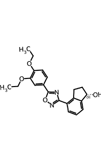 CCOc1ccc(-c2nc(-c3cccc4c3CC[C@@H]4O)no2)cc1OCC